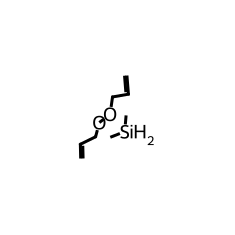 C=CCOOCC=C.C[SiH2]C